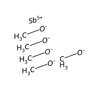 C[O-].C[O-].C[O-].C[O-].C[O-].[Sb+5]